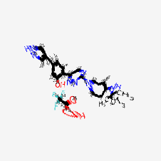 CC(C)(C)NC1CCN(c2ncc(-c3ccc(-c4cn[nH]c4)cc3O)nn2)CC1.O=C(O)C(F)(F)F